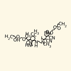 C=CC(=O)OCCOC(=O)/C(C#N)=C(CC(C)(C)C)/C(C#N)=C(\I)N(C)CCNC1=C(C2CN2)/C(=C(\C#N)C(=O)OCCOC(O)C=C)CC(C)(C)C1